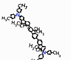 Cc1ccc(N(c2ccc(C)cc2)c2ccc3c(c2)C(C)(C)c2cc(-c4ccc5c(c4)C(C)(C)c4cc(-c6ccc7c(c6)C(C)(C)c6cc(N(c8ccc(C)cc8)c8ccc(C)cc8)ccc6-7)ccc4-5)ccc2-3)cc1